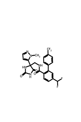 Cn1nccc1C1(CNC(=O)c2ccc(C(F)F)cc2-c2ccc(C(F)(F)F)cc2)NC(=O)NC1=O